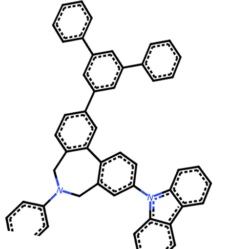 c1ccc(-c2cc(-c3ccccc3)cc(-c3ccc4c(c3)-c3ccc(-n5c6ccccc6c6ccccc65)cc3CN(c3ccccc3)C4)c2)cc1